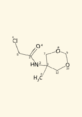 CC1(NC(=O)CCl)COCOC1